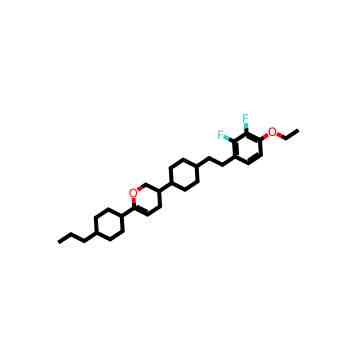 CCCC1CCC(C2=CCC(C3CCC(CCc4ccc(OCC)c(F)c4F)CC3)CO2)CC1